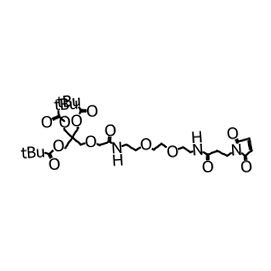 CC(C)(C)C(=O)OCC(COCC(=O)NCCOCCOCCNC(=O)CCN1C(=O)C=CC1=O)(COC(=O)C(C)(C)C)COC(=O)C(C)(C)C